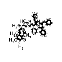 CC1=C(C)C(=O)C(C(C)(C)CC(=O)N(C)CCN(CCC(c2c(Cc3ccco3)nc3c(Cc4ccccc4)nc(-c4ccccc4)cn23)N2CCOCC2)C(=O)O)=C(C)C1=O